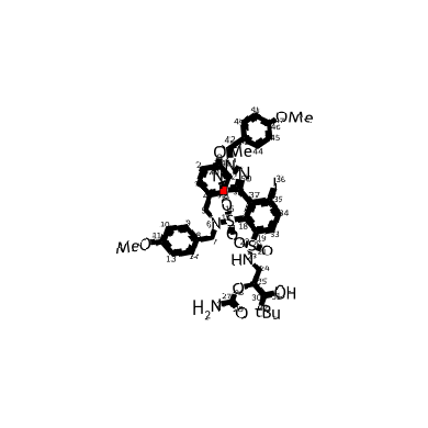 COc1ccc(CN(Cc2ccc(OC)cc2)S(=O)(=O)c2c(S(=O)(=O)NCC(OC(N)=O)C(O)C(C)(C)C)ccc(I)c2-c2nnn(Cc3ccc(OC)cc3)n2)cc1